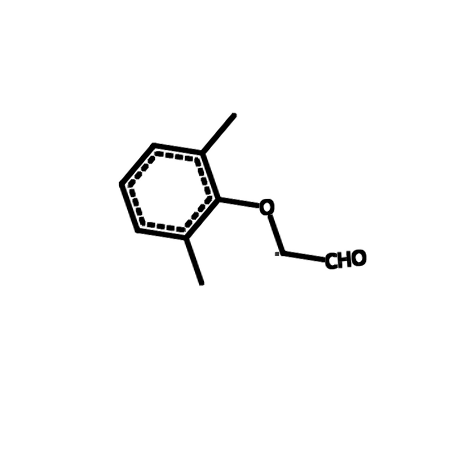 Cc1cccc(C)c1O[CH]C=O